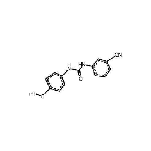 CC(C)Oc1ccc(NC(=O)Nc2cccc(C#N)c2)cc1